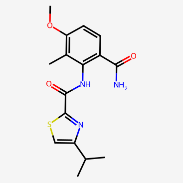 COc1ccc(C(N)=O)c(NC(=O)c2nc(C(C)C)cs2)c1C